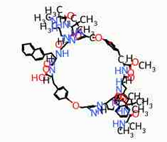 CCCN(C(=O)[C@@H](NC(=O)[C@H](C)NC)C(C)(C)C)[C@@H]1C(=O)N[C@@H](Cc2ccc3ccccc3c2)C(=O)N[C@H](C(=O)O)Cc2ccc(cc2)OCc2cn(nn2)[C@@H]2CCN(C(=O)[C@@H](NC(=O)[C@H](C)NC)C(C)(C)C)[C@@H]2C(=O)N[C@@H](Cc2ccc3ccccc3c2)C(=O)N[C@H](C(=O)OC)Cc2ccc(cc2)OCc2cn1nn2